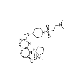 CN(C)CCS(=O)(=O)N1CCC(Nc2ncc3ccc(=O)n([C@@H]4CCC[C@@]4(C)O)c3n2)CC1